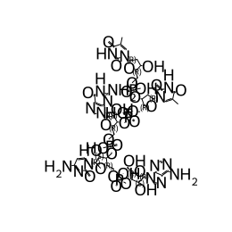 Cc1cn([C@H]2CC(O)[C@@H](COP(=O)(O)OC3C[C@H](n4cc(C)c(=O)[nH]c4=O)O[C@@H]3COP(=O)(O)OC3[C@@H](COP(=O)(O)OC4[C@@H](COP(=O)(O)OC5[C@@H](CO)O[C@@H](n6cnc7c(N)ncnc76)[C@H]5O)O[C@@H](n5ccc(N)nc5=O)[C@H]4O)O[C@@H](n4cnc5c(=O)[nH]c(N)nc54)[C@H]3O)O2)c(=O)[nH]c1=O